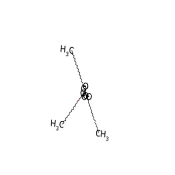 CCCCCCCCCCCCCCCCCCCCCC(=O)OC=C(COC(=O)CCCCCCCCCCCCCCCCCCCCC)OC(=O)CCCCCCCCCCCCCCCCCCCCC